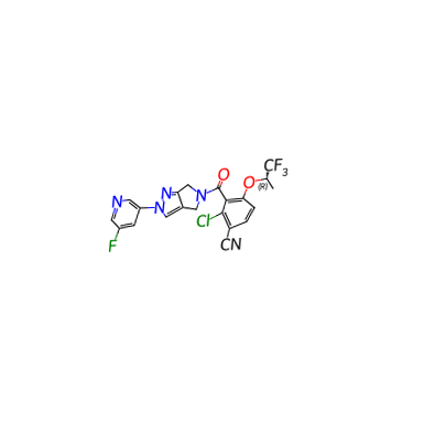 C[C@@H](Oc1ccc(C#N)c(Cl)c1C(=O)N1Cc2cn(-c3cncc(F)c3)nc2C1)C(F)(F)F